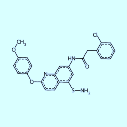 COc1ccc(Oc2ccc3c(SN)cc(NC(=O)Cc4ccccc4Cl)cc3n2)cc1